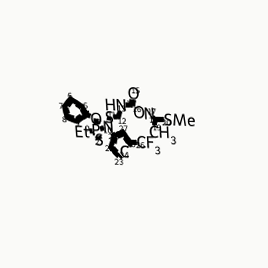 CCP(=S)(Oc1ccccc1)N(SCNC(=O)O/N=C(\C)SC)c1cccc(C(F)(F)F)c1